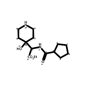 CCOC(=O)C(NC(=O)C1CCCC1)C1(O)CCNCC1